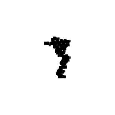 COc1ccc(CNC(=O)Cc2cccc(NC(=O)[C@@H]3CSC(CCCC(=O)O)N3C(=O)[C@H](NC(=O)N3CCOCC3)c3ccccc3)c2)cc1